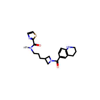 CCCN(CCCC1CN(C(=O)c2ccc3c(c2)CCCN3)C1)C(=O)c1nccs1